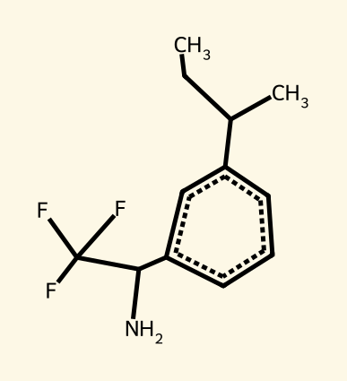 CCC(C)c1cccc(C(N)C(F)(F)F)c1